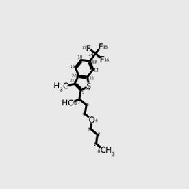 CCCCOCCC(O)c1sc2cc(C(F)(F)F)ccc2c1C